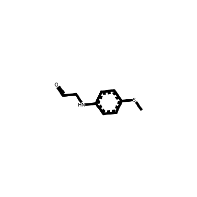 CSc1ccc(NC[C]=O)cc1